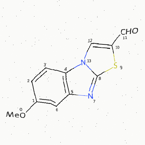 COc1ccc2c(c1)nc1sc(C=O)cn12